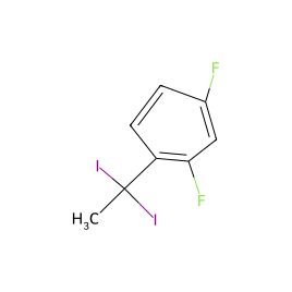 CC(I)(I)c1ccc(F)cc1F